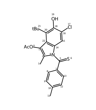 CC(=O)Oc1c(C)n(C(=S)c2ccc(C)cc2)c2cc(Cl)c(O)c(C(C)(C)C)c12